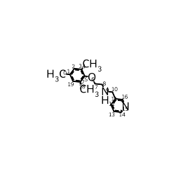 Cc1cc(C)c(OCCNCc2cccnc2)c(C)c1